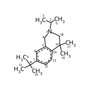 CC(C)N1Cc2cc(C(C)(C)C)ccc2C(C)(C)C1